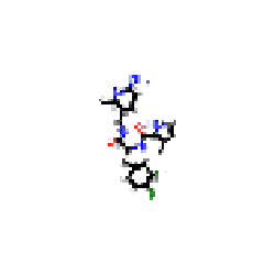 Cc1cc[nH]c1C(=O)N[C@@H](Cc1ccc(F)c(F)c1)C(=O)NCc1ccc(N)nc1C